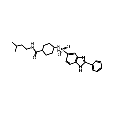 CC(C)CCNC(=O)C1CCC(NS(=O)(=O)c2ccc3[nH]c(-c4ccccc4)nc3c2)CC1